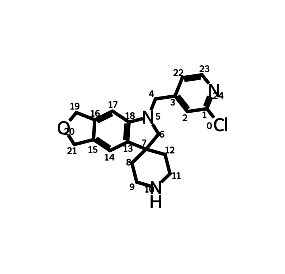 Clc1cc(CN2CC3(CCNCC3)c3cc4c(cc32)COC4)ccn1